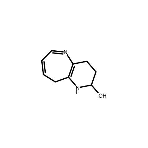 OC1CCC2=C(CC=CC=N2)N1